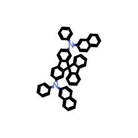 c1ccc(N(c2ccc3c(c2)C2(c4ccccc4-c4ccccc42)c2cc(N(c4ccccc4)c4ccc5ccccc5c4)ccc2-3)c2ccc3ccccc3c2)cc1